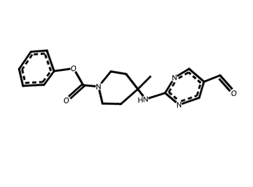 CC1(Nc2ncc(C=O)cn2)CCN(C(=O)Oc2ccccc2)CC1